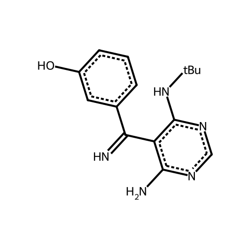 CC(C)(C)Nc1ncnc(N)c1C(=N)c1cccc(O)c1